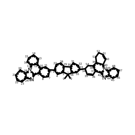 CC1(C)c2cc(-c3ccc4c(c3)c3ccccc3n3c5ccccc5nc43)ccc2-c2ccc(C3C=Cc4c(c5c(n6c4nc4ccccc46)C=CCC5)C3)cc21